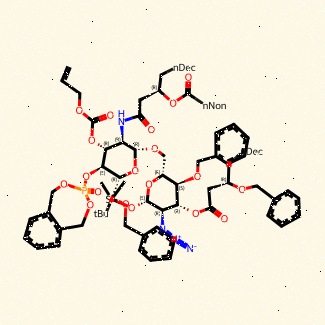 C=CCOC(=O)O[C@@H]1[C@@H](NC(=O)C[C@@H](CCCCCCCCCCC)OC(=O)CCCCCCCCC)[C@H](OC[C@H]2O[C@@H](O[Si](C)(C)C(C)(C)C)[C@H](N=[N+]=[N-])[C@@H](OC(=O)C[C@@H](CCCCCCCCCCC)OCc3ccccc3)[C@@H]2OCc2ccccc2)O[C@H](COCc2ccccc2)[C@H]1OP1(=O)OCc2ccccc2CO1